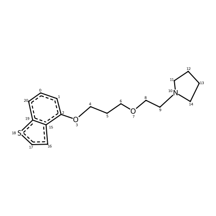 c1cc(OCCCOCCN2CCCC2)c2ccsc2c1